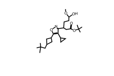 COC(O)CCC(CC(=O)OC(C)(C)C)c1noc(C2CC(CC(C)(C)C)C2)c1C1CC1